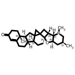 C[C@H]1C[C@H]2O[C@@]34CC[C@H]5[C@@H]6CCC7=CC(=O)CC[C@]7(C)[C@H]6CC56CC63C[C@@H]4[C@@H]2N(C)C1